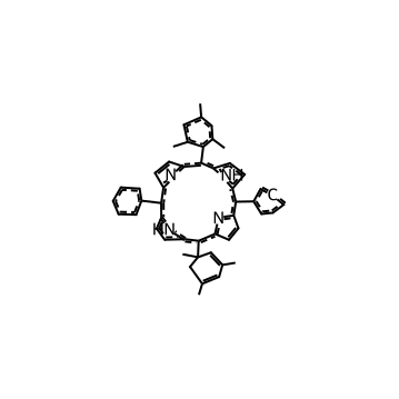 CC1=CC(C)(c2c3nc(c(-c4ccccc4)c4ccc([nH]4)c(-c4c(C)cc(C)cc4C)c4nc(c(-c5ccccc5)c5ccc2[nH]5)C=C4)C=C3)CC(C)=C1